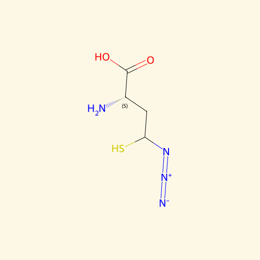 [N-]=[N+]=NC(S)C[C@H](N)C(=O)O